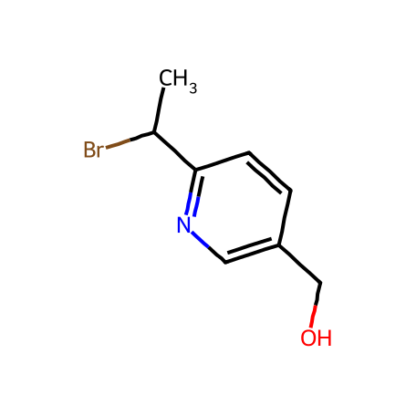 CC(Br)c1ccc(CO)cn1